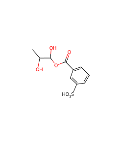 CC(O)C(O)OC(=O)c1cccc(S(=O)(=O)O)c1